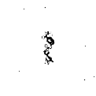 Cc1cc(C2CCN(C(=O)OC3C4CC5CC3CC(C(N)=O)(C5)C4)C2)nn1C